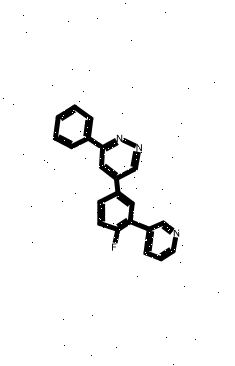 Fc1ccc(-c2cnnc(-c3ccccc3)c2)cc1-c1cccnc1